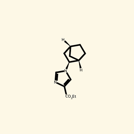 CCOC(=O)c1cn([C@H]2C[C@@H]3CC[C@H]2C3)cn1